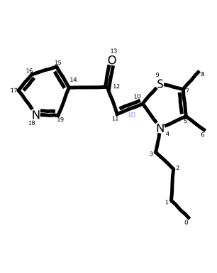 CCCCN1C(C)=C(C)S/C1=C\C(=O)c1cccnc1